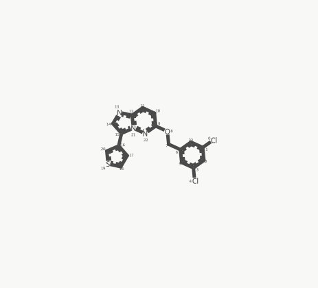 Clc1cc(Cl)cc(COc2ccc3ncc(-c4ccsc4)n3n2)c1